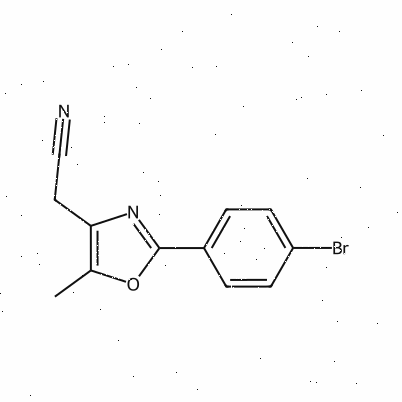 Cc1oc(-c2ccc(Br)cc2)nc1CC#N